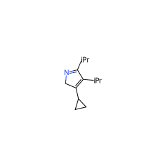 CC(C)C1=NCC(C2CC2)=C1C(C)C